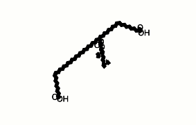 CCN(CC)CCN(CCOC(=O)OC(CCCCCCCC/C=C\CCCCCCCC(=O)O)CCCCCCCCCCCCCCCCCCCC/C=C\CCCCCCCC(=O)O)C(C)C